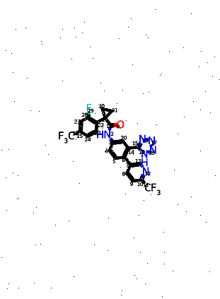 O=C(Nc1ccc(-c2ccc(C(F)(F)F)nc2)c(-c2nnn[nH]2)c1)C1(c2ccc(C(F)(F)F)cc2F)CC1